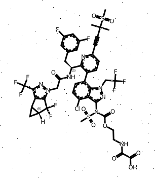 CC(C)(C#Cc1ccc(-c2ccc(Cl)c3c(N(C(=O)OCCNC(=O)C(=O)O)S(C)(=O)=O)nn(CC(F)(F)F)c23)c([C@H](Cc2cc(F)cc(F)c2)NC(=O)Cn2nc(C(F)(F)F)c3c2C(F)(F)[C@@H]2CC32)n1)S(C)(=O)=O